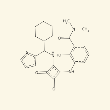 CN(C)C(=O)c1cccc(Nc2c(NC(c3cccs3)C3CCCCC3)c(=O)c2=O)c1O